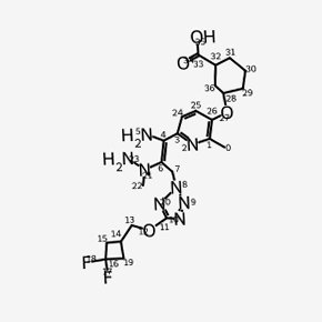 Cc1nc(/C(N)=C(\Cn2nnc(OCC3CC(F)(F)C3)n2)N(C)N)ccc1OC1CCCC(C(=O)O)C1